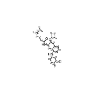 CN(CC=CC(=O)Nc1cc2c(Nc3ccc(F)c(Cl)c3)ncnc2cc1OC1CCC1)C1CC1